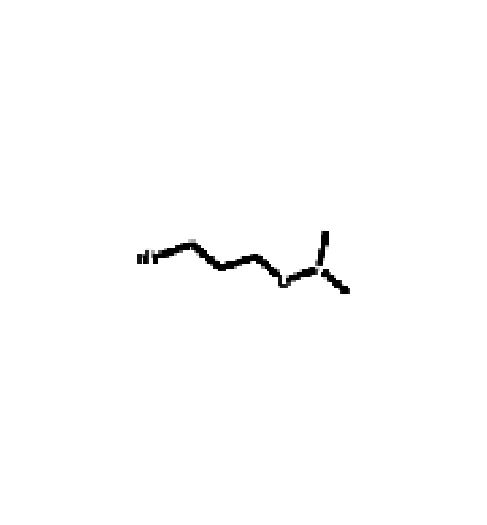 CCCCCCOP(C)C